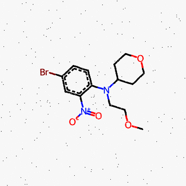 COCCN(c1ccc(Br)cc1[N+](=O)[O-])C1CCOCC1